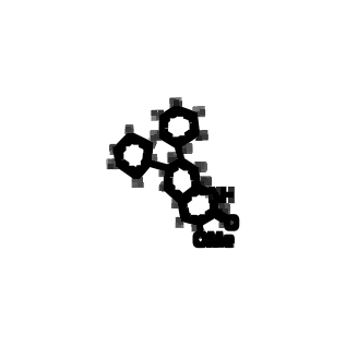 COc1cc2cc(-c3ccccc3)c(-c3ccccc3)cc2[nH]c1=O